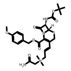 COc1ccc(COC(=O)C2=C(C=CC[N+](C)(C)CC(N)=O)CS[C@H]3[C@H](NC(=O)OC(C)(C)C)C(=O)N23)cc1